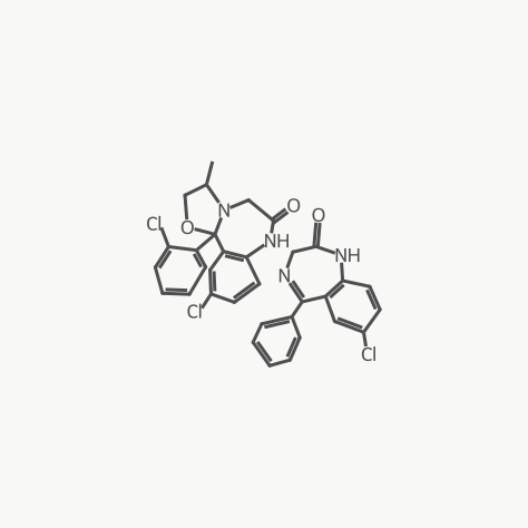 CC1COC2(c3ccccc3Cl)c3cc(Cl)ccc3NC(=O)CN12.O=C1CN=C(c2ccccc2)c2cc(Cl)ccc2N1